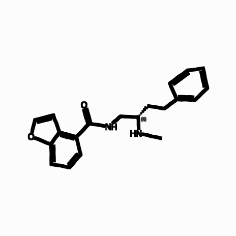 CN[C@@H](CCc1ccccc1)CNC(=O)c1cccc2occc12